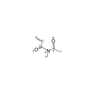 C=CC(=O)N(C)C(C)=O